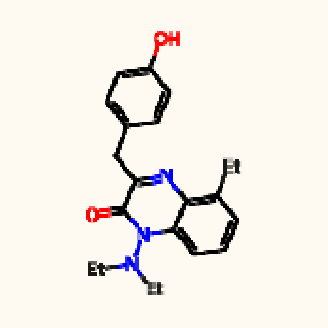 CCc1cccc2c1nc(Cc1ccc(O)cc1)c(=O)n2N(CC)CC